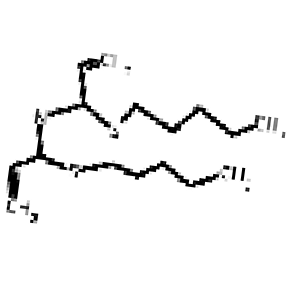 C=CC([N]C(C=C)SCCCCC)SCCCCC